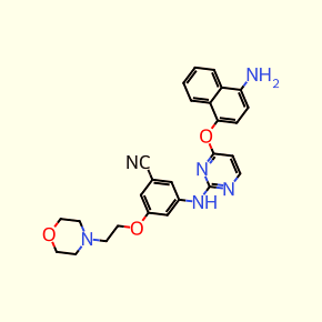 N#Cc1cc(Nc2nccc(Oc3ccc(N)c4ccccc34)n2)cc(OCCN2CCOCC2)c1